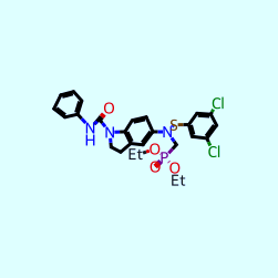 CCOP(=O)(CN(Sc1cc(Cl)cc(Cl)c1)c1ccc2c(c1)CCN2C(=O)Nc1ccccc1)OCC